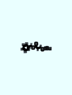 CC(C)(C)OCCC(=O)OCc1ccccc1